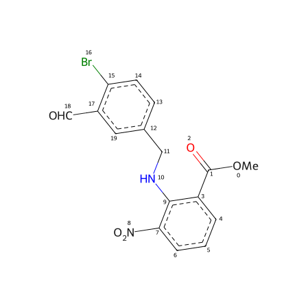 COC(=O)c1cccc([N+](=O)[O-])c1NCc1ccc(Br)c(C=O)c1